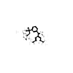 CC(Br)c1nc(C(F)(F)F)cc2c(-c3cccc(C4(Cc5nncn5C)COC4)c3)n[nH]c12